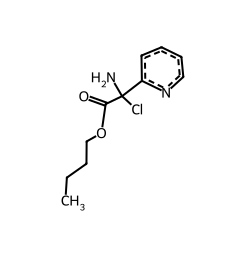 CCCCOC(=O)C(N)(Cl)c1ccccn1